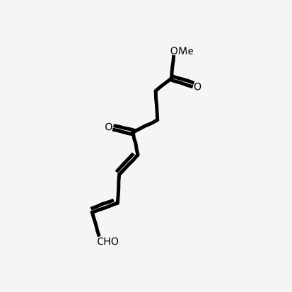 COC(=O)CCC(=O)C=CC=CC=O